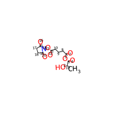 CC(O)C(=O)OC(=O)CCCC(=O)ON1C(=O)CCC1=O